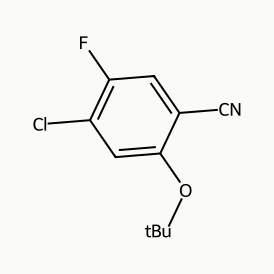 CC(C)(C)Oc1cc(Cl)c(F)cc1C#N